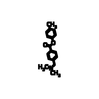 Cc1ccc(OC(=O)c2ccc(CN(C)C)cc2)cc1